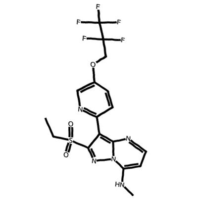 CCS(=O)(=O)c1nn2c(NC)ccnc2c1-c1ccc(OCC(F)(F)C(F)(F)F)cn1